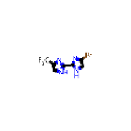 FC(F)(F)c1c[nH]c(-c2nc(Br)c[nH]2)n1